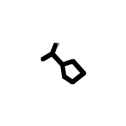 [CH2]C(C)C1CCCC1